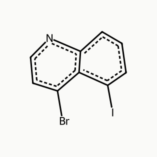 Brc1ccnc2cccc(I)c12